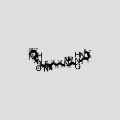 O=C(NCc1ccccn1)c1cn(CCCCc2nnc(C(=O)NCc3ccccn3)s2)nn1